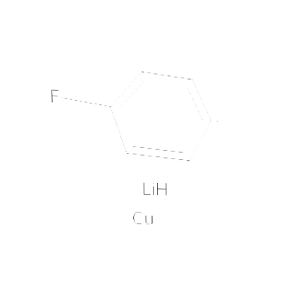 Fc1cc[c]cc1.[Cu].[LiH]